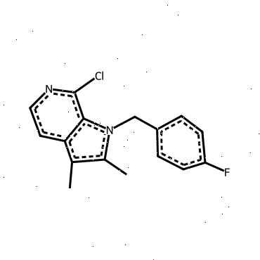 Cc1c(C)n(Cc2ccc(F)cc2)c2c(Cl)nccc12